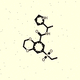 CCS(=O)(=O)c1cc2c(c(C(=O)NC(C)c3ccc[nH]3)c1)OCCO2